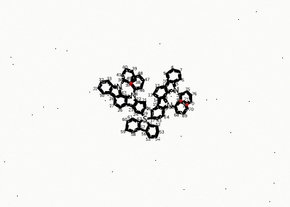 c1ccc(-n2c3ccccc3c3ccc4c5cc(S6(c7ccc8c(c7)c7ccc9c%10ccccc%10n(-c%10ccccc%10)c9c7n8-c7ccccc7)c7ccccc7-c7ccccc76)ccc5n(-c5ccccc5)c4c32)cc1